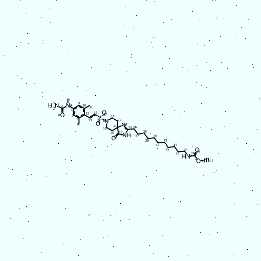 Cc1cc(N(C)C(N)=O)cc(C)c1/C=C/S(=O)(=O)N1CCC2(CC1)N=C(CCCCCCCCCCCNC(=O)OC(C)(C)C)NC2=O